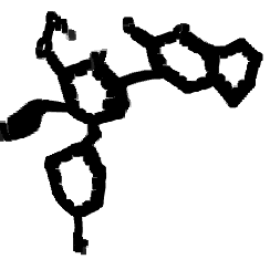 COc1nc(-c2cc3ccccc3oc2=O)cc(-c2ccc(Br)cc2)c1C#N